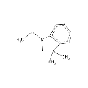 CCN1CC(C)(C)c2cc[c]cc21